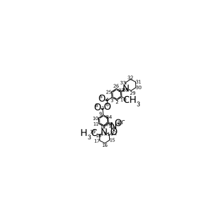 Cc1cc(C(=O)OC(=O)c2ccc(N3CCCCC3C)c([N+](=O)[O-])c2)ccc1N1CCCCC1